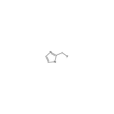 FCC1=NC=[C][N]1